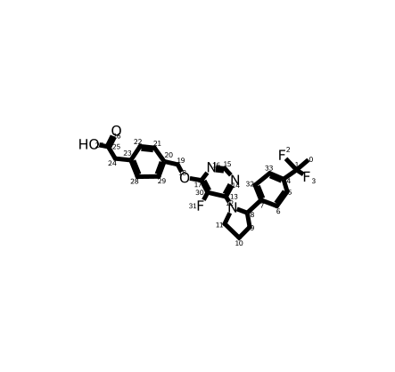 CC(F)(F)c1ccc(C2CCCN2c2ncnc(OCc3ccc(CC(=O)O)cc3)c2F)cc1